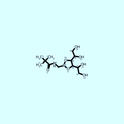 CC(C)(C)C(=O)NCB1OC(C(O)CO)C(C(O)CO)O1